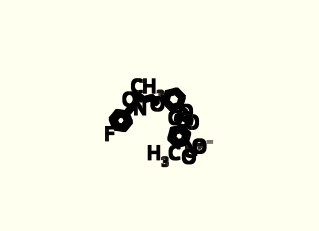 Cc1ccc(S(=O)(=O)O[C@@H]2CCC[C@H](OCc3nc(-c4ccc(F)cc4)oc3C)C2)cc1[N+](=O)[O-]